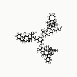 COCCOCCOCCN(CC(C)(C)SSCCC(C(=O)NC(C)(C)C1CCCCCCC1)S(=O)(=O)O)c1cc(COc2cc3c(cc2OC)C(=O)N2c4ccccc4C[C@H]2CN3)cc(COc2cc3c(cc2OC)C(=O)N2c4ccccc4C[C@H]2C(S(=O)(=O)O)N3)c1